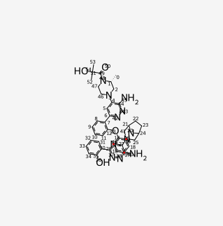 C[C@@H]1CN(c2cc(-c3ccccc3Oc3ncccc3N3C4CCC3CN(c3cc(-c5ccccc5O)nnc3N)C4)nnc2N)CCN1C(=O)C(C)(C)O